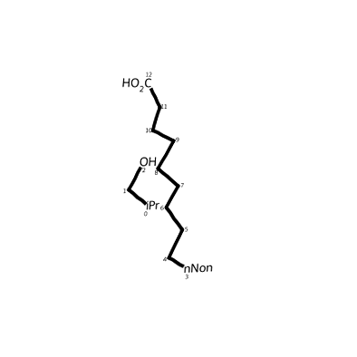 CC(C)CO.CCCCCCCCCCCCCCCCCC(=O)O